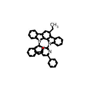 CCc1cc2c3ccccc3n(-c3ccccc3)c2c2c1c1ccccc1n2-c1nc(-c2ccccc2)cc(-c2ccccc2)n1